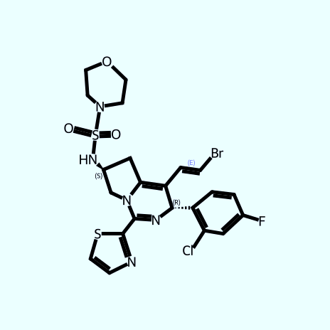 O=S(=O)(N[C@H]1CC2=C(/C=C/Br)[C@H](c3ccc(F)cc3Cl)N=C(c3nccs3)N2C1)N1CCOCC1